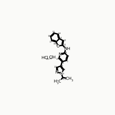 CC(C)n1cc(-c2ccc(Nc3cc4ccccc4o3)nc2)cn1.Cl.Cl